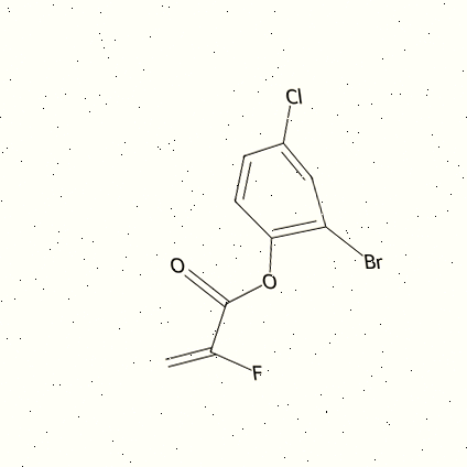 C=C(F)C(=O)Oc1ccc(Cl)cc1Br